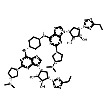 CCc1nnn([C@H]2C[C@@H](n3cnc4c(N[C@H]5CC[C@H](Nc6nc(N7CC[C@@H](N(C)C)C7)nc7c6ncn7[C@@H]6C[C@H](n7nnc(CC)n7)[C@@H](O)[C@H]6O)CC5)nc(N5CC[C@@H](N(C)C)C5)nc43)[C@H](O)[C@@H]2O)n1